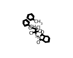 Cc1ccccc1.Cc1ccccc1.O=C1C2CC=CCC2C(=O)N1SC(Cl)(Cl)C(Cl)Cl